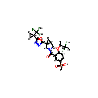 CC(Oc1ccc(S(C)(=O)=O)cc1C(=O)N1CC2CC2(c2nnc(C3(C(F)(F)F)CC3)o2)C1)C(C)(F)F